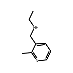 CCNCc1cccnc1C